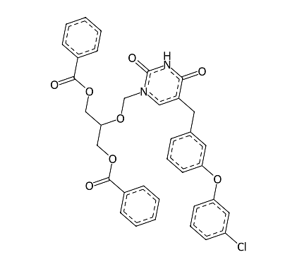 O=C(OCC(COC(=O)c1ccccc1)OCn1cc(Cc2cccc(Oc3cccc(Cl)c3)c2)c(=O)[nH]c1=O)c1ccccc1